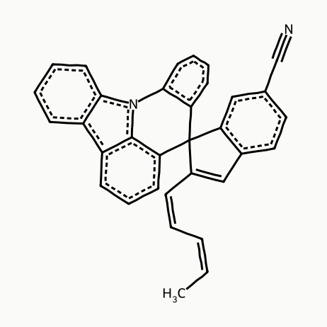 C/C=C\C=C/C1=Cc2ccc(C#N)cc2C12c1ccccc1-n1c3ccccc3c3cccc2c31